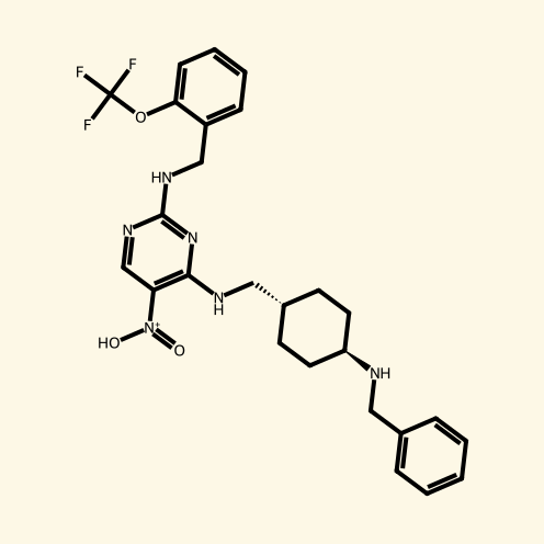 O=[N+](O)c1cnc(NCc2ccccc2OC(F)(F)F)nc1NC[C@H]1CC[C@H](NCc2ccccc2)CC1